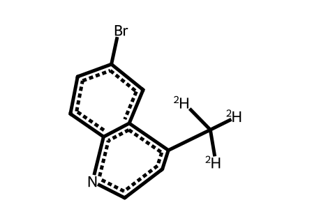 [2H]C([2H])([2H])c1ccnc2ccc(Br)cc12